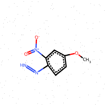 COc1ccc(N=N)c([N+](=O)[O-])c1